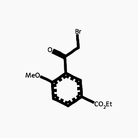 CCOC(=O)c1ccc(OC)c(C(=O)CBr)c1